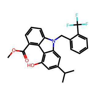 COC(=O)c1cccc2c1c1c(O)cc(C(C)C)cc1n2Cc1ccccc1C(F)(F)F